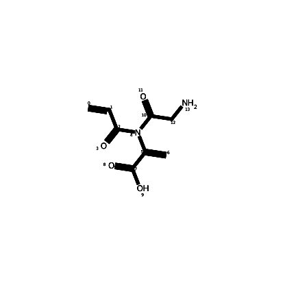 C=CC(=O)N(C(=C)C(=O)O)C(=O)CN